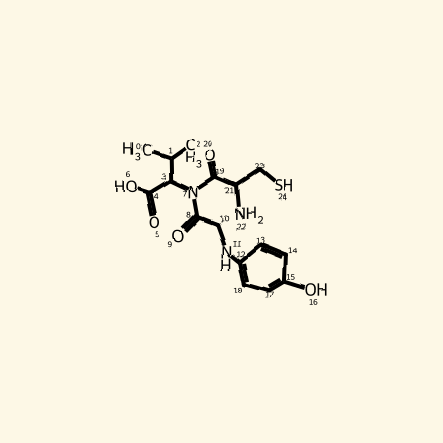 CC(C)C(C(=O)O)N(C(=O)CNc1ccc(O)cc1)C(=O)C(N)CS